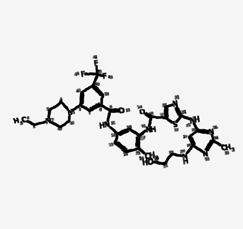 CCN1CCN(c2cc(C(=O)Nc3ccc(C)c(NC(=O)c4cnc(Nc5cc(NCCO)nc(C)n5)s4)c3)cc(C(F)(F)F)c2)CC1